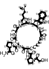 C[C@@H]1NC(=O)C[C@@H](C(=O)N2CCCC2C(N)=O)NC(=O)[C@@H](NC(=O)C2CCCN2C(=O)CO)CCCCNC(=O)[C@H](C)NC(=O)[C@H](Cc2c[nH]c3ccccc23)NC(=O)[C@H](CCCCN(C)C)NC1=O